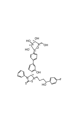 OC[C@H]1O[C@@H](c2ccc(-c3ccc([C@@H]4[C@@H](CCCC(O)c5ccc(F)cc5)SC(=S)N4c4ccccc4)c(O)c3)cc2)[C@H](O)[C@@H](O)[C@@H]1O